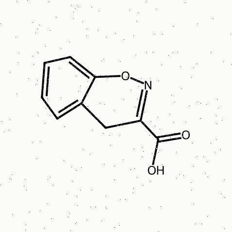 O=C(O)C1=NOc2ccccc2C1